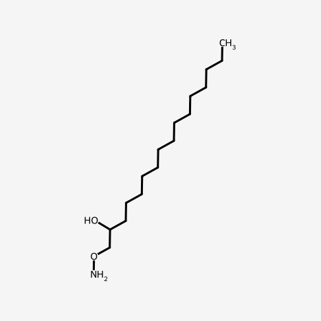 CCCCCCCCCCCCCCC(O)CON